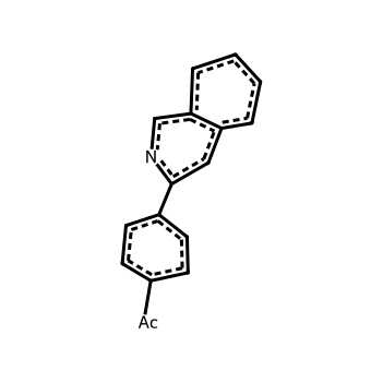 CC(=O)c1ccc(-c2cc3ccccc3cn2)cc1